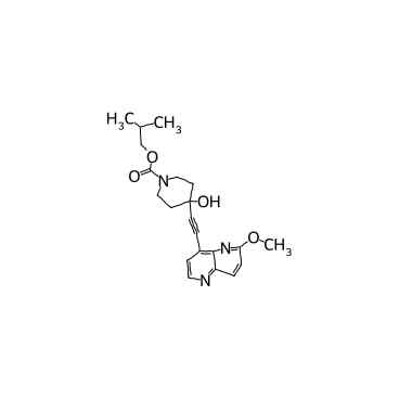 COc1ccc2nccc(C#CC3(O)CCN(C(=O)OCC(C)C)CC3)c2n1